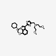 COCCN(CCOC)Cc1csc(-c2cn3c4c(cccc24)OC[C@H]3C2CCCCC2)n1